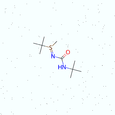 C/S(=N\C(=O)NC(C)(C)C)C(C)(C)C